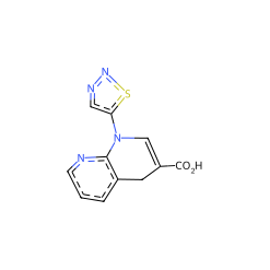 O=C(O)C1=CN(c2cnns2)c2ncccc2C1